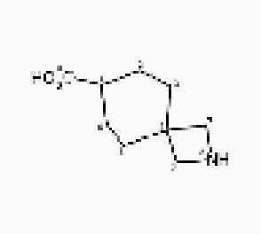 O=C(O)C1CCC2(CC1)CNC2